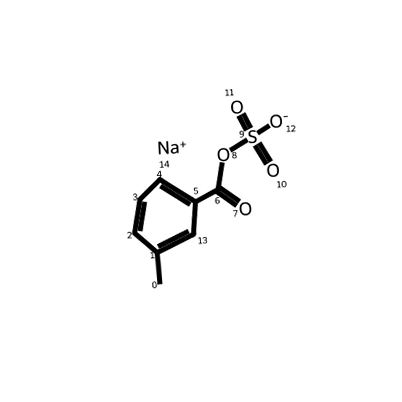 Cc1cccc(C(=O)OS(=O)(=O)[O-])c1.[Na+]